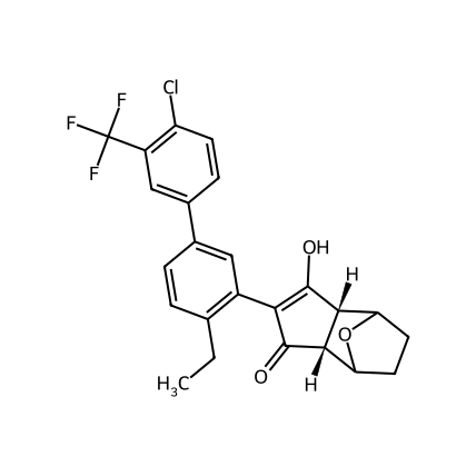 CCc1ccc(-c2ccc(Cl)c(C(F)(F)F)c2)cc1C1=C(O)[C@@H]2C3CCC(O3)[C@@H]2C1=O